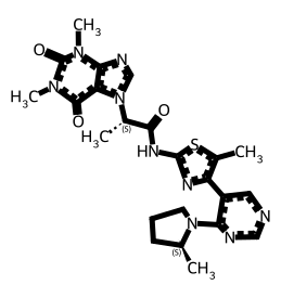 Cc1sc(NC(=O)[C@H](C)n2cnc3c2c(=O)n(C)c(=O)n3C)nc1-c1cncnc1N1CCC[C@@H]1C